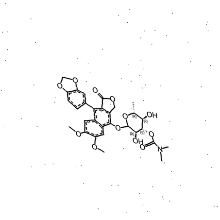 COc1cc2c(OC3O[C@H](C)[C@@H](O)[C@H](OC(=O)N(C)C)[C@H]3O)c3c(c(-c4ccc5c(c4)OCO5)c2cc1OC)C(=O)OC3